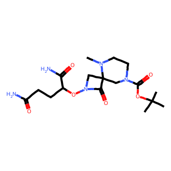 CN1CCN(C(=O)OC(C)(C)C)CC12CN(OC(CCC(N)=O)C(N)=O)C2=O